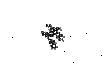 CSCCC(C=CS(=O)(=O)c1ccccc1)NC(=O)[C@H](CC(C)C)NC(=O)[C@H](CC(C)C)NC(C)=O